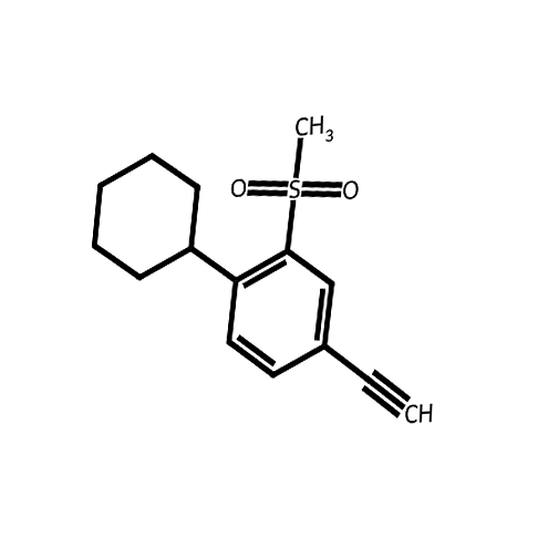 C#Cc1ccc(C2CCCCC2)c(S(C)(=O)=O)c1